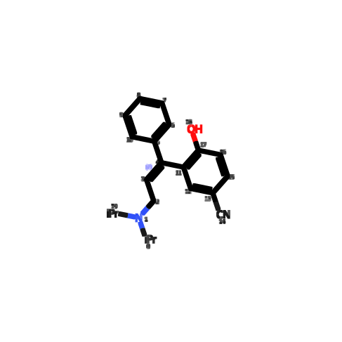 CC(C)N(C/C=C(/c1ccccc1)c1cc(C#N)ccc1O)C(C)C